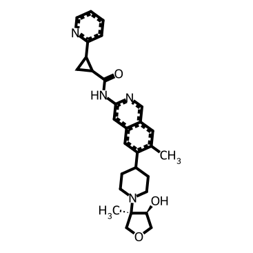 Cc1cc2cnc(NC(=O)C3CC3c3ccccn3)cc2cc1C1CCN([C@]2(C)COC[C@@H]2O)CC1